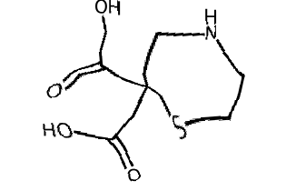 O=C(O)C1(C(=O)O)CNCCS1